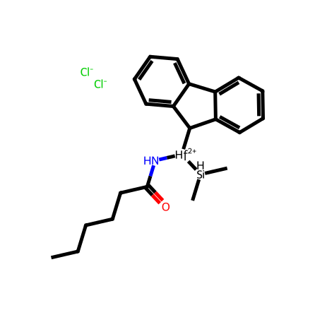 CCCCCC(=O)[NH][Hf+2]([CH]1c2ccccc2-c2ccccc21)[SiH](C)C.[Cl-].[Cl-]